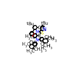 Cc1cc2c3c(c1)N(c1ccc4c(c1)C(C)(C)CCC4(C)C)c1cc4c(cc1B3c1sc3ncc(C(C)(C)C)cc3c1N2C1=C(c2ccccc2)C=C(C(C)(C)C)CC1C)C(C)(C)CCC4(C)C